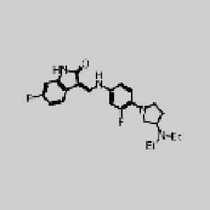 CCN(CC)C1CCN(c2ccc(NC=C3C(=O)Nc4cc(F)ccc43)cc2F)C1